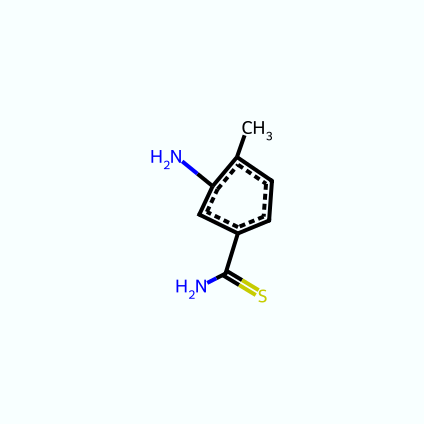 Cc1ccc(C(N)=S)cc1N